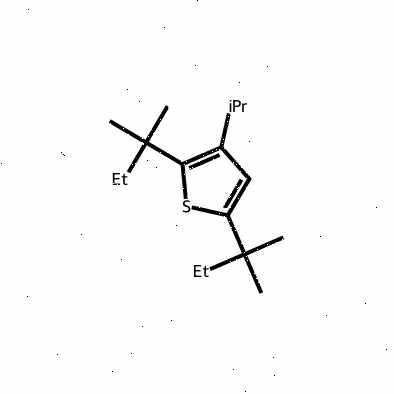 CCC(C)(C)c1cc(C(C)C)c(C(C)(C)CC)s1